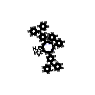 C=C1/C=C(c2ccc(N(c3ccccc3)c3ccccc3)cc2)\C=C/N(c2ccccc2-c2ccccc2)/C=C\C(c2ccc(N(c3ccccc3)c3ccccc3)cc2)=C/C1=C